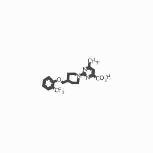 Cc1cc(C(=O)O)nc(N2CCC(COc3ccccc3C(F)(F)F)CC2)n1